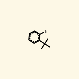 CC(C)(C)c1cccc[c]1[Ti]